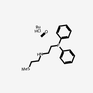 C=O.CSCCNCCP(c1ccccc1)c1ccccc1.Cl.[Ru]